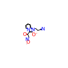 CO/N=C/C(=O)c1c([O-])n(CCC#N)c2cccc[n+]12